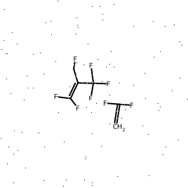 C=C(F)F.FCC(=C(F)F)C(F)(F)F